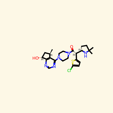 C[C@@H]1C[C@@H](O)c2ncnc(N3CCN(C(=O)[C@@H](c4ccc(Cl)s4)[C@@H]4CCC(C)(C)N4)CC3)c21